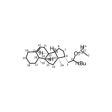 C[SiH](C)OC(C[C@H]1CC[C@H]2[C@@H]3CC=C4CCCC[C@]4(C)[C@H]3CC[C@]12C)C(C)(C)C